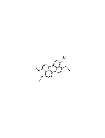 ClCc1ccc2c3ccc(CCl)c4c(CCl)ccc(c5ccc(CCl)c1c25)c43